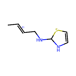 C/C=C/CNC1NC=CS1